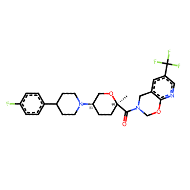 C[C@]1(C(=O)N2COc3ncc(C(F)(F)F)cc3C2)CC[C@@H](N2CCC(c3ccc(F)cc3)CC2)CO1